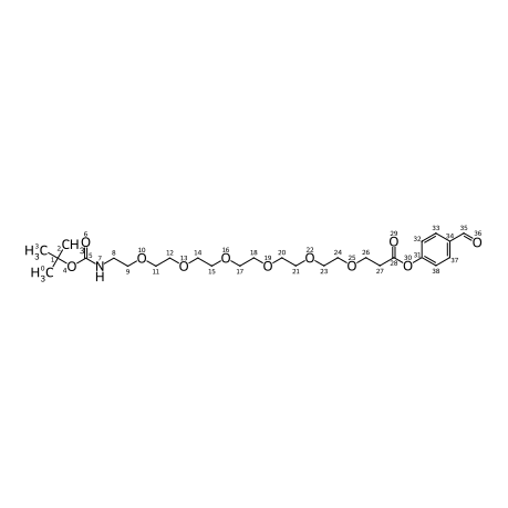 CC(C)(C)OC(=O)NCCOCCOCCOCCOCCOCCOCCC(=O)Oc1ccc(C=O)cc1